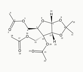 CC(=O)OC[C@H]1O[C@@H]2OC(C)(C)O[C@@H]2[C@@]1(COC(C)=O)OC(C)=O